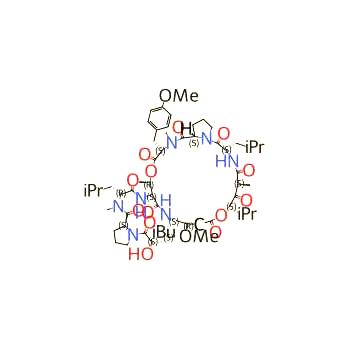 CC[C@H](C)[C@@H]1NC(=O)[C@@H](NC(=O)[C@@H](CC(C)C)N(C)C(=O)[C@@H]2CCCN2C(=O)[C@H](C)O)[C@@H](C)OC(=O)[C@H](Cc2ccc(OC)cc2)N(C)C(=O)[C@@H]2CCCN2C(=O)[C@H](CC(C)C)NC(=O)[C@@H](C)C(=O)[C@H](C(C)C)OC(=O)C[C@H]1OC